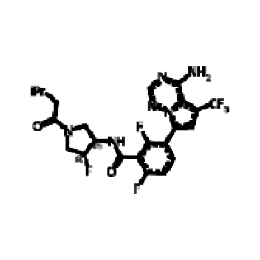 CC(C)CC(=O)N1C[C@H](F)[C@H](NC(=O)c2c(F)ccc(-c3cc(C(F)(F)F)c4c(N)ncnn34)c2F)C1